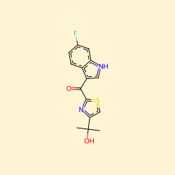 CC(C)(O)c1csc(C(=O)c2c[nH]c3cc(F)ccc23)n1